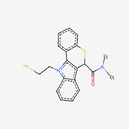 CCN(CC)C(=O)C1Sc2ccccc2-c2c1c1ccccc1n2CC[18F]